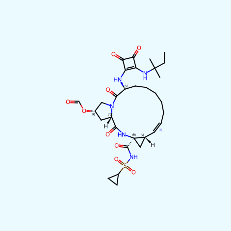 CCC(C)(C)Nc1c(N[C@H]2CCCCC/C=C\[C@@H]3C[C@@]3(C(=O)NS(=O)(=O)C3CC3)NC(=O)[C@@H]3C[C@@H](OC=O)CN3C2=O)c(=O)c1=O